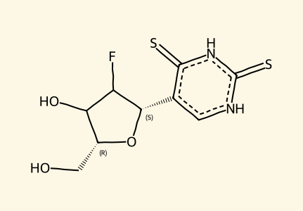 OC[C@H]1O[C@@H](c2c[nH]c(=S)[nH]c2=S)C(F)C1O